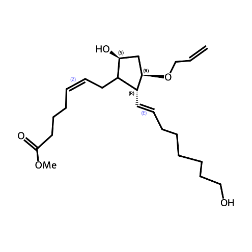 C=CCO[C@@H]1C[C@H](O)C(C/C=C\CCCC(=O)OC)[C@H]1/C=C/CCCCCCO